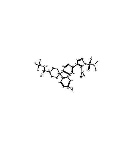 CN(C)S(=O)(=O)n1ncc(-c2ccc(C3(c4ccc(Cl)cc4)CCN(C(=O)OC(C)(C)C)CC3)cc2)c1C1CC1